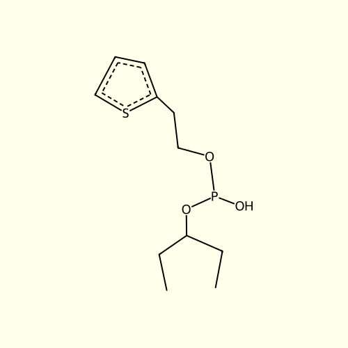 CCC(CC)OP(O)OCCc1cccs1